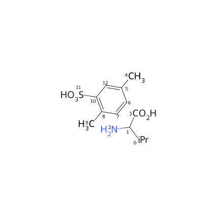 CC(C)C(N)C(=O)O.Cc1ccc(C)c(S(=O)(=O)O)c1